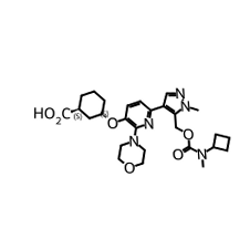 CN(C(=O)OCc1c(-c2ccc(O[C@H]3CCC[C@H](C(=O)O)C3)c(N3CCOCC3)n2)cnn1C)C1CCC1